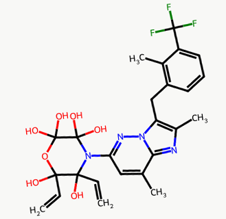 C=CC1(O)OC(O)(O)C(O)(O)N(c2cc(C)c3nc(C)c(Cc4cccc(C(F)(F)F)c4C)n3n2)C1(O)C=C